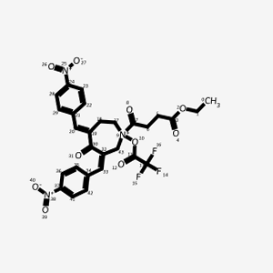 CCOC(=O)CCC(=O)[N+]1(OC(=O)C(F)(F)F)CCC(=Cc2ccc([N+](=O)[O-])cc2)C(=O)C(=Cc2ccc([N+](=O)[O-])cc2)C1